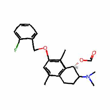 Cc1cc(OCc2ccccc2F)c(C)c2c1CCC(N(C)C)[C@H]2OC=O